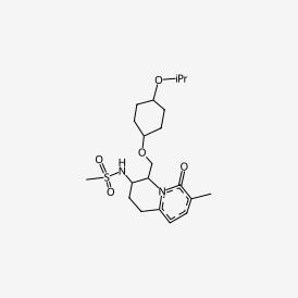 Cc1ccc2n(c1=O)C(COC1CCC(OC(C)C)CC1)C(NS(C)(=O)=O)CC2